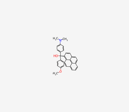 COc1ccc(C(O)(c2ccc(N(C)C)cc2)c2ccc3ccc4cccc5ccc2c3c45)cc1